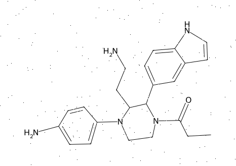 CCC(=O)N1CCN(c2ccc(N)cc2)C(CCN)C1c1ccc2[nH]ccc2c1